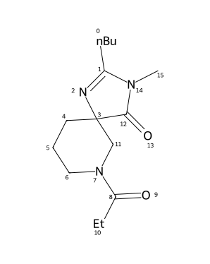 CCCCC1=NC2(CCCN(C(=O)CC)C2)C(=O)N1C